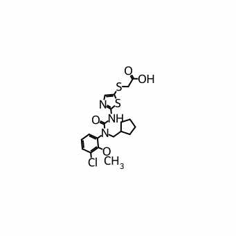 COc1c(Cl)cccc1N(CC1CCCC1)C(=O)Nc1ncc(SCC(=O)O)s1